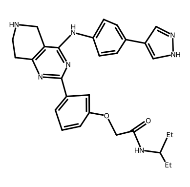 CCC(CC)NC(=O)COc1cccc(-c2nc3c(c(Nc4ccc(-c5cn[nH]c5)cc4)n2)CNCC3)c1